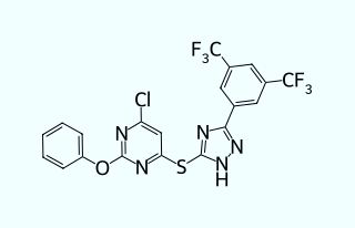 FC(F)(F)c1cc(-c2n[nH]c(Sc3cc(Cl)nc(Oc4ccccc4)n3)n2)cc(C(F)(F)F)c1